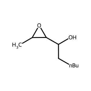 CCCCCC(O)C1OC1C